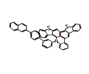 c1cc(-c2ccc(-c3ccc4ccccc4c3)cc2)cc(N(c2ccccc2-c2ccc3sc4ccccc4c3c2)c2cccc3sc4ccccc4c23)c1